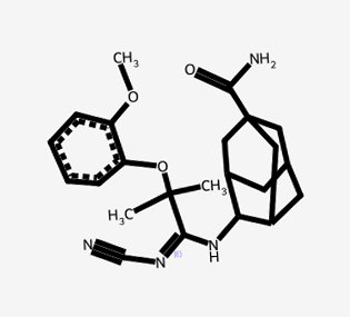 COc1ccccc1OC(C)(C)/C(=N\C#N)NC1C2CC3CC1CC(C(N)=O)(C3)C2